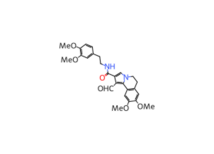 COc1ccc(CCNC(=O)c2cn3c(c2C=O)-c2cc(OC)c(OC)cc2CC3)cc1OC